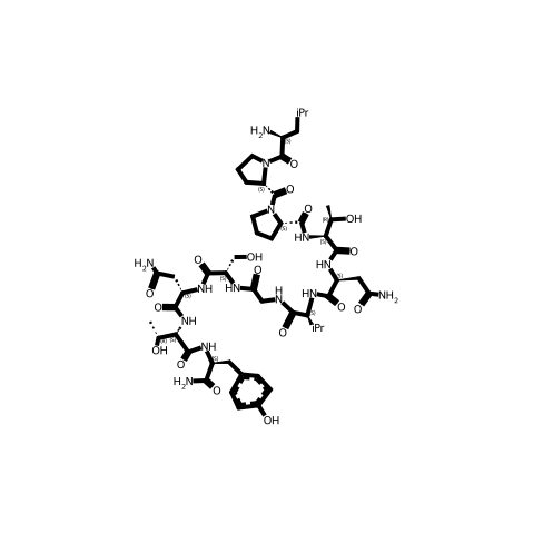 CC(C)C[C@H](N)C(=O)N1CCC[C@H]1C(=O)N1CCC[C@H]1C(=O)N[C@H](C(=O)N[C@@H](CC(N)=O)C(=O)N[C@H](C(=O)NCC(=O)N[C@@H](CO)C(=O)N[C@@H](CC(N)=O)C(=O)N[C@H](C(=O)N[C@@H](Cc1ccc(O)cc1)C(N)=O)[C@@H](C)O)C(C)C)[C@@H](C)O